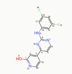 Oc1cc(-c2ccnc(Nc3cc(F)cc(F)c3)n2)ccn1